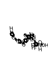 COc1cc2nc(C)nc(N[C@H](C)c3cc(NC(=O)O)cc(C(F)(F)F)c3)c2cc1C1CCC(C(=O)N2CCN(CCOC3CCNCC3)CC2)CC1